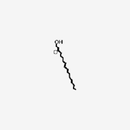 CCCCCCCCCCCCCCCC(=O)CCO